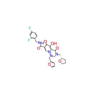 O=C(NCc1ccc(F)cc1F)c1cn2c(c(O)c1=O)C(=O)N(C[C@@H]1CCCO1)CN2Cc1ccco1